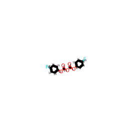 O=C(OC(=O)Oc1ccc(F)cc1)Oc1ccc(F)cc1